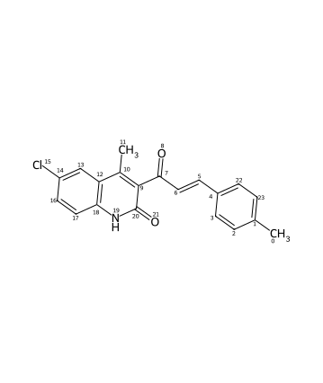 Cc1ccc(/C=C/C(=O)c2c(C)c3cc(Cl)ccc3[nH]c2=O)cc1